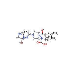 CC(C)CCC(=O)[N+]1(N(C(=O)O)C(C)(C)C)CCN(c2ccc3ncc(Br)n3n2)CC1